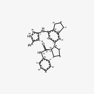 CC(C)c1cc(Nc2nc(N3CCC[C@H]3C(=O)Nc3cccnc3)nc3c2CCC3)n[nH]1